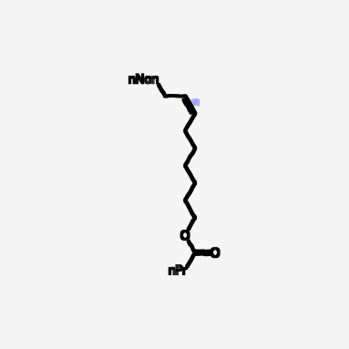 CCCCCCCCCC/C=C\CCCCCCOC(=O)CCC